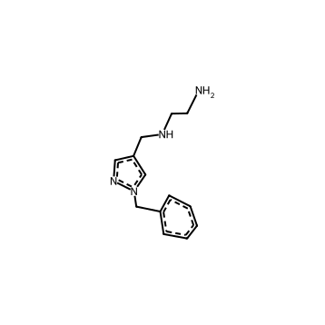 NCCNCc1cnn(Cc2ccccc2)c1